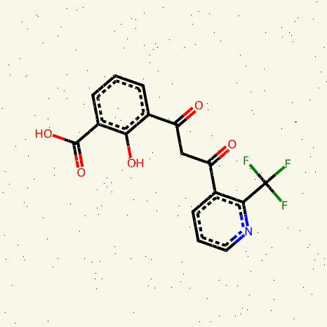 O=C(CC(=O)c1cccc(C(=O)O)c1O)c1cccnc1C(F)(F)F